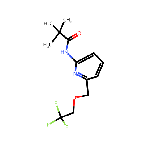 CC(C)(C)C(=O)Nc1cccc(COCC(F)(F)F)n1